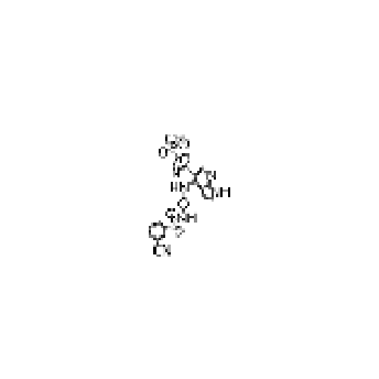 CS(=O)(=O)c1cnc(-c2cnc3[nH]ccc3c2NC2CC(NS(=O)(=O)c3cccc(C#N)c3)C2)o1